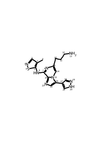 Cc1cnsc1Nc1nc(CCCN)cn2c(-c3cn[nH]c3)cnc12